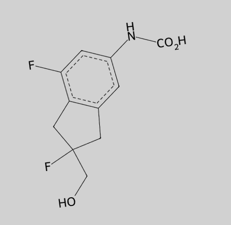 O=C(O)Nc1cc(F)c2c(c1)CC(F)(CO)C2